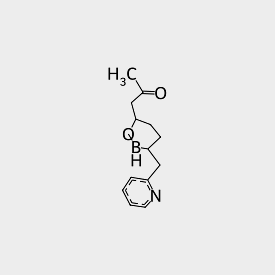 CC(=O)CC1CCC(Cc2ccccn2)BO1